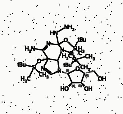 CC(C)(C)[Si](C)(C)ON1C2N([C@@H]3O[C@H](CO)[C@@H](O)[C@H]3O)C=NC2(O[Si](C)(C)C(C)(C)C)C(N)=NC1(NN)O[Si](C)(C)C(C)(C)C